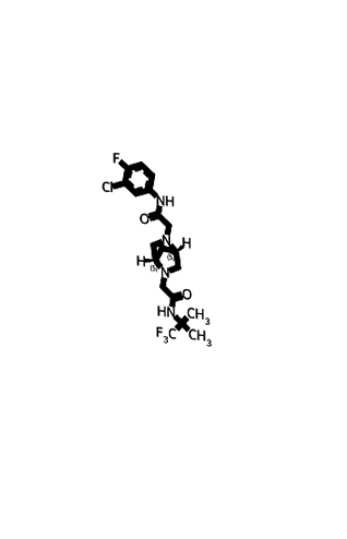 CC(C)(NC(=O)CN1C[C@@H]2C[C@H]1CN2CC(=O)Nc1ccc(F)c(Cl)c1)C(F)(F)F